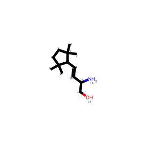 CC1(C)CCC(C)(C)C1/C=C/C(N)CO